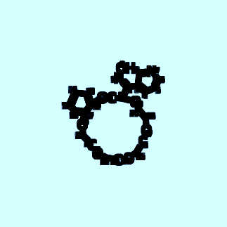 ON=C(c1cccnc1)C1COc2ccccc2OCCOCCOCCOCCO1